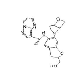 O=C(Nc1cc2c(cc1N1CC3OCC31)OC(CO)C2)c1cnn2cccnc12